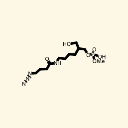 COP(=O)(O)OCC(CO)CCCCNC(=O)CCCN=[N+]=[N-]